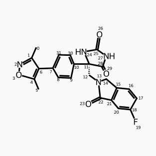 Cc1noc(C)c1-c1ccc([C@@]2(CN3Cc4ccc(F)cc4C3=O)NC(=O)NC2=O)cc1